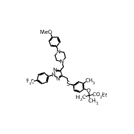 CCOC(=O)C(C)(C)Oc1ccc(SCc2nn(-c3ccc(C(F)(F)F)cc3)nc2CN2CCN(c3ccc(OC)cc3)CC2)cc1C